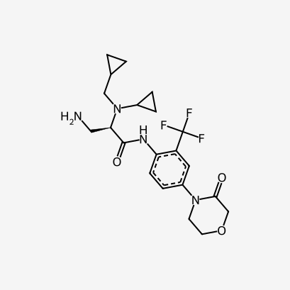 NC[C@H](C(=O)Nc1ccc(N2CCOCC2=O)cc1C(F)(F)F)N(CC1CC1)C1CC1